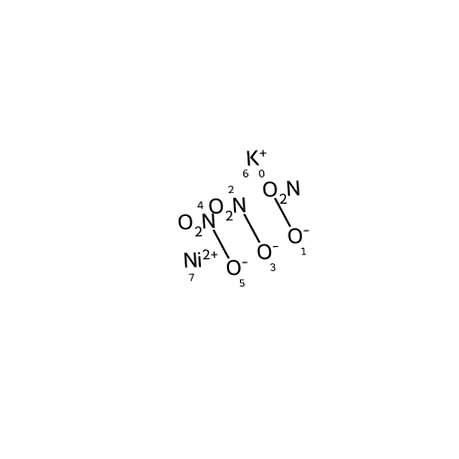 O=[N+]([O-])[O-].O=[N+]([O-])[O-].O=[N+]([O-])[O-].[K+].[Ni+2]